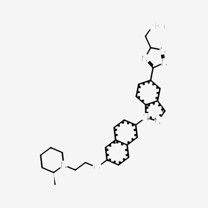 C[C@H]1CCCCN1CCOc1ccc2cc(-n3ncc4cc(C5=NC(CC(C)(C)C)N=N5)ccc43)ccc2c1